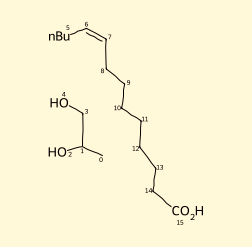 CC(O)CO.CCCC/C=C\CCCCCCCC(=O)O